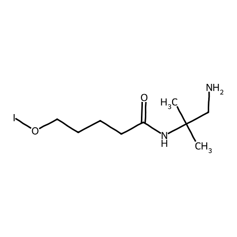 CC(C)(CN)NC(=O)CCCCOI